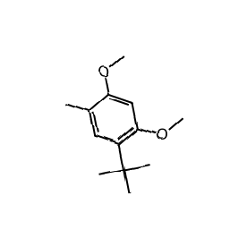 COc1cc(OC)c(C(C)(C)C)cc1C